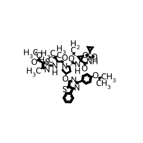 C=C[C@@H]1C[C@]1(NC(=O)[C@@H]1C[C@@H](Oc2nc(-c3ccc(OC(C)C)cc3)nc3c2sc2ccccc23)CN1C(=O)[C@@H](Nc1nc(C)c(C(=O)OC)s1)C(C)(C)C)C(=O)NS(=O)(=O)C1CC1